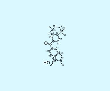 Cc1ccc2cc(C(=O)c3ccc4c(c3)C(C)(C)CCC4(C)C)ccc2c1C(=O)O